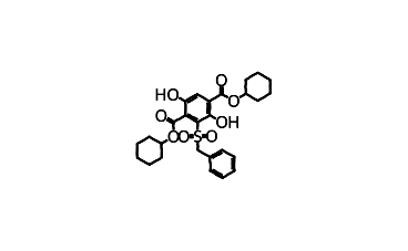 O=C(OC1CCCCC1)c1cc(O)c(C(=O)OC2CCCCC2)c(S(=O)(=O)Cc2ccccc2)c1O